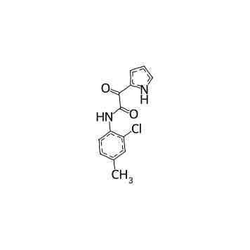 Cc1ccc(NC(=O)C(=O)c2ccc[nH]2)c(Cl)c1